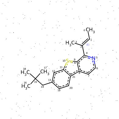 C/C=C(\C)c1nccc2c1sc1cc(CC(C)(C)C)ccc12